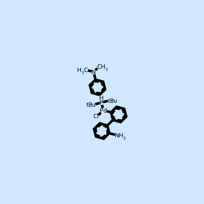 CN(C)c1ccc([PH]([Pd]([Cl])[c]2ccccc2-c2ccccc2N)(C(C)(C)C)C(C)(C)C)cc1